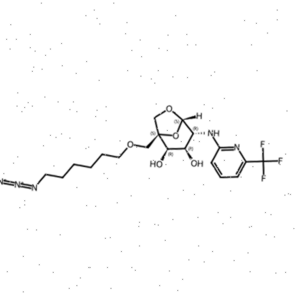 [N-]=[N+]=NCCCCCCOC[C@@]12CO[C@@H](O1)[C@H](Nc1cccc(C(F)(F)F)n1)[C@@H](O)[C@H]2O